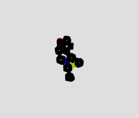 CC1(C)c2ccccc2C2(c3ccccc3-c3ccc(-c4cccc(N(c5ccc(-c6ccccc6)cc5)c5cccc6c5sc5ccccc56)c4)cc32)c2ccccc21